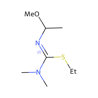 CCS/C(=N\C(C)OC)N(C)C